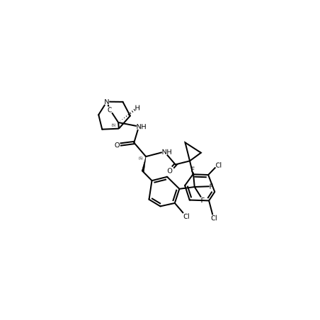 O=C(N[C@@H]1CN2CCC1CC2)[C@H](Cc1ccc(Cl)c(C(F)(F)F)c1)NC(=O)C1(c2ccc(Cl)cc2Cl)CC1